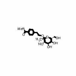 CNC(=O)c1ccc(CCO[C@]2(C)O[C@H](CO)[C@@H](O)[C@@H](O)[C@@H]2O)cc1